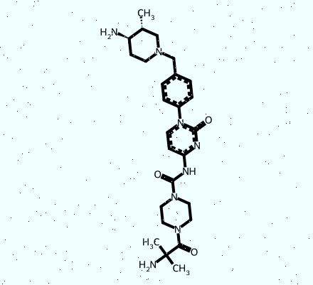 C[C@@H]1CN(Cc2ccc(-n3ccc(NC(=O)N4CCN(C(=O)C(C)(C)N)CC4)nc3=O)cc2)CC[C@H]1N